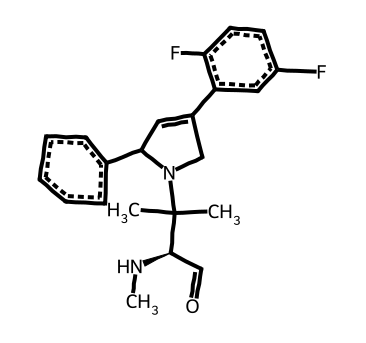 CN[C@H](C=O)C(C)(C)N1CC(c2cc(F)ccc2F)=CC1c1ccccc1